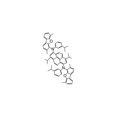 Cc1ccc2c(oc3c(C)cccc32)c1N(c1cccc(C(C)C)c1)c1cc(C(C)C)c2ccc3c(N(c4cccc(C(C)C)c4)c4c(C)ccc5c4oc4c(C)cccc45)cc(C(C)C)c4ccc1c2c43